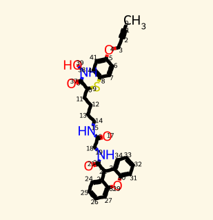 CC#CCOc1ccc(SC(CCCCNC(=O)CNC(=O)C2c3ccccc3Oc3ccccc32)C(=O)NO)cc1